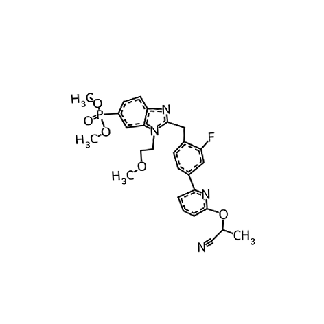 COCCn1c(Cc2ccc(-c3cccc(OC(C)C#N)n3)cc2F)nc2ccc(P(=O)(OC)OC)cc21